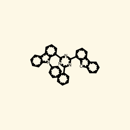 c1ccc(-c2nc(-c3cccc4c3oc3ccccc34)nc(-c3cccc4c5ccccc5n(-c5ccccc5)c34)n2)cc1